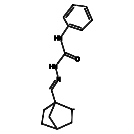 O=C(NN=CC12[CH]CC(CC1)C2)Nc1ccccc1